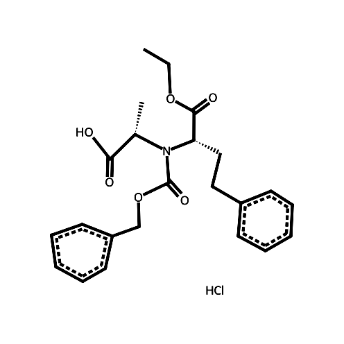 CCOC(=O)[C@H](CCc1ccccc1)N(C(=O)OCc1ccccc1)[C@@H](C)C(=O)O.Cl